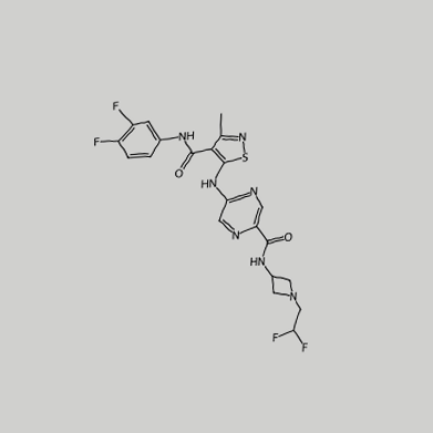 Cc1nsc(Nc2cnc(C(=O)NC3CN(CC(F)F)C3)cn2)c1C(=O)Nc1ccc(F)c(F)c1